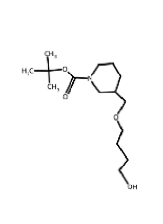 CC(C)(C)OC(=O)N1CCCC(COCCCCO)C1